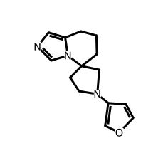 c1cc(N2CCC3(CCCc4cncn43)C2)co1